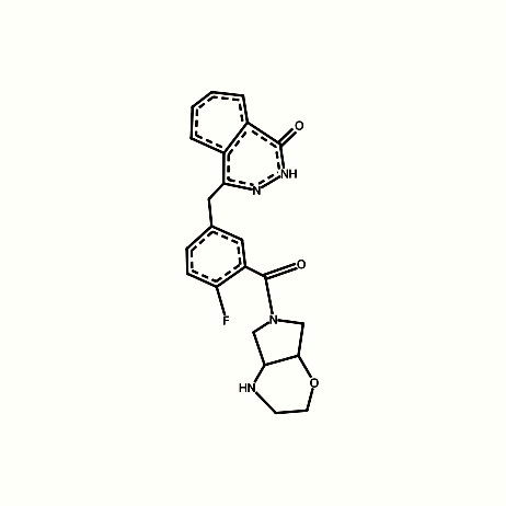 O=C(c1cc(Cc2n[nH]c(=O)c3ccccc23)ccc1F)N1CC2NCCOC2C1